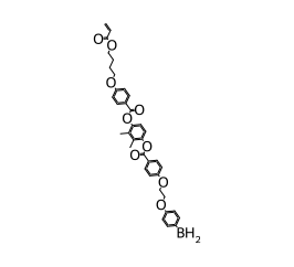 Bc1ccc(OCCOc2ccc(C(=O)Oc3ccc(OC(=O)c4ccc(OCCCCOC(=O)C=C)cc4)c(C)c3C)cc2)cc1